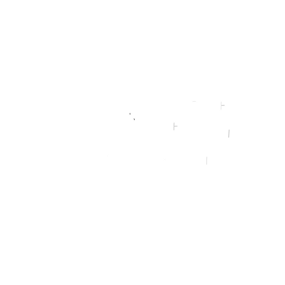 Fc1c(F)c(F)c(-c2ccc3c(c2)C2(c4ccccc4-3)c3ccccc3-c3c(N(c4ccccc4)c4cccc(-c5ccccc5)c4)cccc32)c(F)c1F